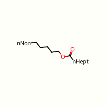 CCCCCCCCCCCCCCOC(=O)CCCCCCC